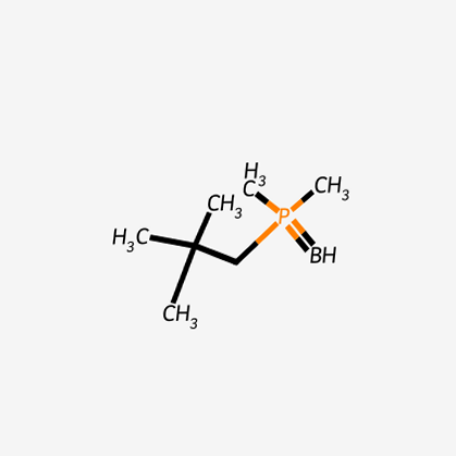 B=P(C)(C)CC(C)(C)C